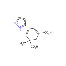 CC1(C(=O)O)C=CC=C(C(=O)O)C1.c1cn[nH]c1